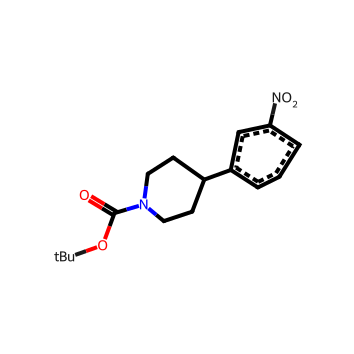 CC(C)(C)OC(=O)N1CCC(c2cccc([N+](=O)[O-])c2)CC1